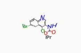 CC(C)OC(=O)Nc1cnc2ccc(Br)cc2c1Cl